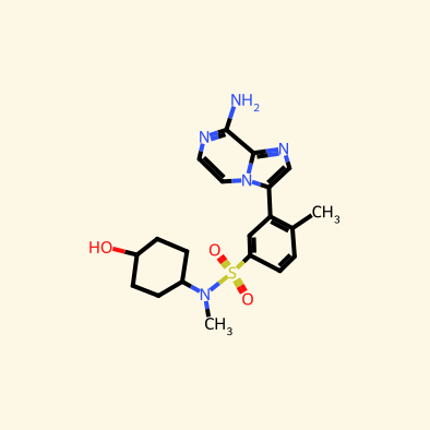 Cc1ccc(S(=O)(=O)N(C)C2CCC(O)CC2)cc1-c1cnc2c(N)nccn12